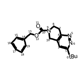 CC(C)(C)c1cc2c(nn1)CCN(C(=O)OCc1ccccc1)C2